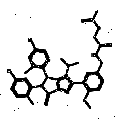 COc1ccc(CNC(=O)COC(C)=O)cc1-c1nc2c(n1C(C)C)C(c1ccc(Cl)cc1C)N(c1cc(Cl)ccc1C)C2=O